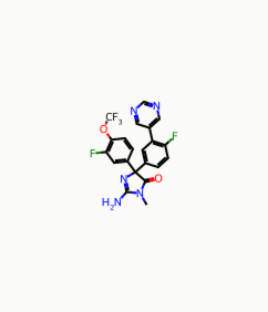 CN1C(=O)C(c2ccc(OC(F)(F)F)c(F)c2)(c2ccc(F)c(-c3cncnc3)c2)N=C1N